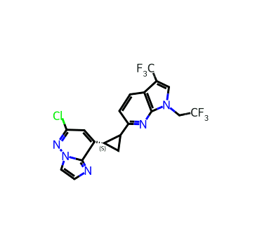 FC(F)(F)Cn1cc(C(F)(F)F)c2ccc(C3C[C@@H]3c3cc(Cl)nn4ccnc34)nc21